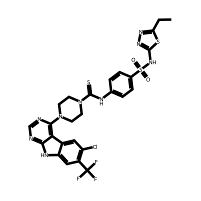 CCc1nnc(NS(=O)(=O)c2ccc(NC(=S)N3CCN(c4ncnc5[nH]c6cc(C(F)(F)F)c(Cl)cc6c45)CC3)cc2)s1